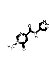 Cn1cnc(C(=O)Nc2cnoc2)cc1=O